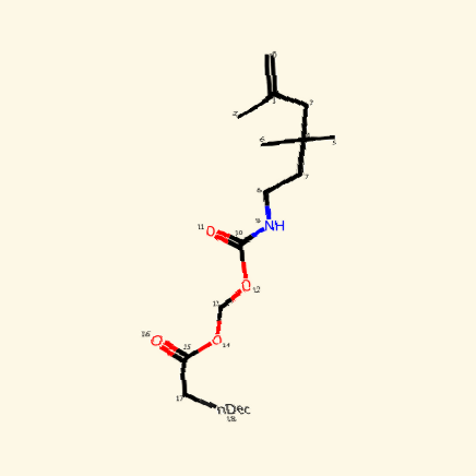 C=C(C)CC(C)(C)CCNC(=O)OCOC(=O)CCCCCCCCCCC